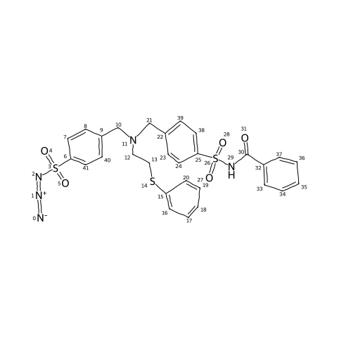 [N-]=[N+]=NS(=O)(=O)c1ccc(CN(CCSc2ccccc2)Cc2ccc(S(=O)(=O)NC(=O)c3ccccc3)cc2)cc1